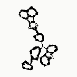 c1ccc(-c2ccc(N(c3ccc(-c4nc5c(o4)-c4cccc6cccc-5c46)cc3)c3cccc4oc5ccccc5c34)cc2)cc1